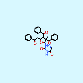 CC1(C(=O)c2ccccc2)C(C(=O)c2ccccc2)C(CC(=O)c2ccccc2)OC1n1ncc(=O)[nH]c1=O